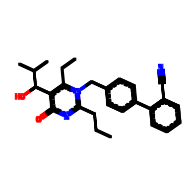 CCCc1nc(=O)c(C(O)C(C)C)c(CC)n1Cc1ccc(-c2ccccc2C#N)cc1